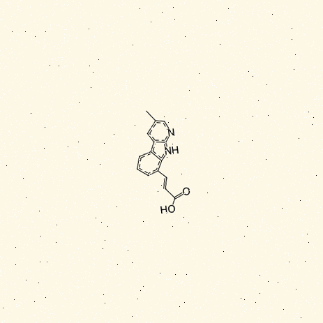 Cc1cnc2[nH]c3c(/C=C/C(=O)O)cccc3c2c1